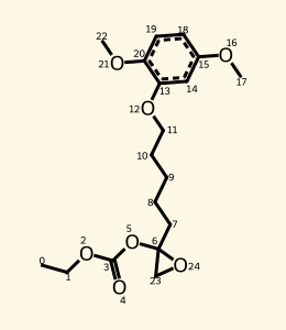 CCOC(=O)OC1(CCCCCOc2cc(OC)ccc2OC)CO1